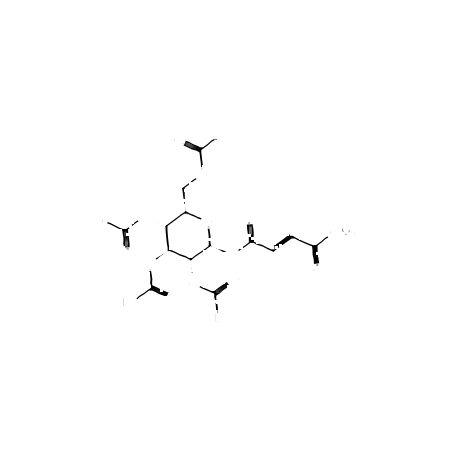 CCC(=O)OC[C@H]1O[C@@H](OC(=O)/C=C/C(=O)OC)[C@H](OC(=O)CC)[C@@H](OC(=O)CC)[C@@H]1OC(=O)CC